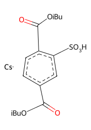 CC(C)COC(=O)c1ccc(C(=O)OCC(C)C)c(S(=O)(=O)O)c1.[Cs]